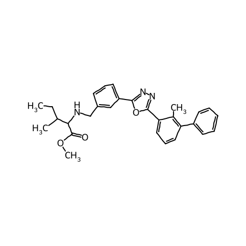 CCC(C)C(NCc1cccc(-c2nnc(-c3cccc(-c4ccccc4)c3C)o2)c1)C(=O)OC